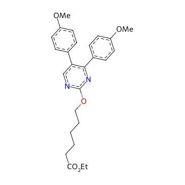 CCOC(=O)CCCCCOc1ncc(-c2ccc(OC)cc2)c(-c2ccc(OC)cc2)n1